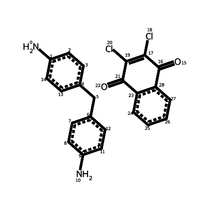 Nc1ccc(Cc2ccc(N)cc2)cc1.O=C1C(Cl)=C(Cl)C(=O)c2ccccc21